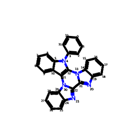 c1ccc(-n2c3ccccc3c3c2n2c4ccccc4nc2c2nc4ccccc4n23)cc1